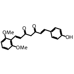 COc1cccc(OC)c1/C=C/C(=O)CC(=O)/C=C/c1ccc(O)cc1